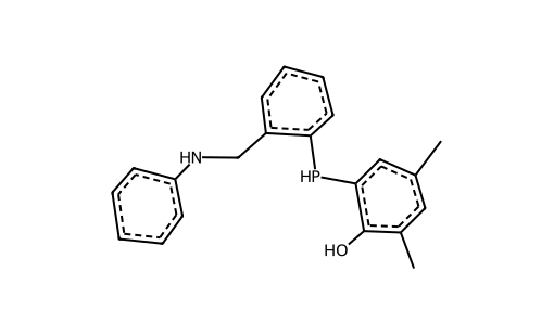 Cc1cc(C)c(O)c(Pc2ccccc2CNc2ccccc2)c1